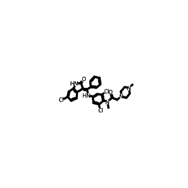 CN1CCN(CC(=O)N(C)c2c(Cl)cc(NC(=C3C(=O)Nc4cc(Cl)ccc43)c3ccccc3)cc2Cl)CC1